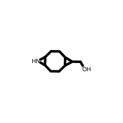 OCC1C2CCC3NC3CCC12